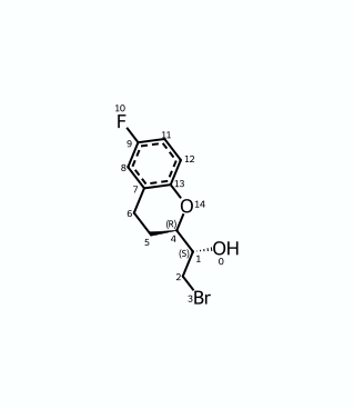 O[C@H](CBr)[C@H]1CCc2cc(F)ccc2O1